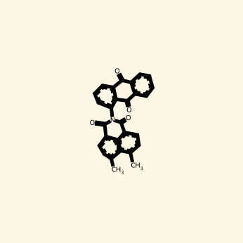 Cc1ccc(C(=O)N(C(=O)c2ccc(C)cc2)c2cccc3c2C(=O)c2ccccc2C3=O)cc1